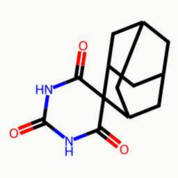 O=C1NC(=O)C2(C(=O)N1)C1CC3CC(C1)CC2C3